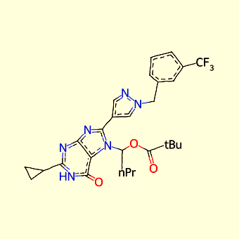 CCCC(OC(=O)C(C)(C)C)n1c(-c2cnn(Cc3cccc(C(F)(F)F)c3)c2)nc2nc(C3CC3)[nH]c(=O)c21